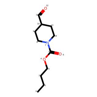 CCCCOC(=O)N1CCC([C]=O)CC1